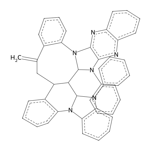 C=C1CC2c3ccccc3N3c4ccccc4N(c4ccccc4)C3C2C2N(c3ccccc3)c3nc4ccccc4nc3N2c2ccccc21